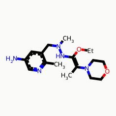 CCO/C(NN(C)Cc1cc(N)cnc1C)=C(/C)N1CCOCC1